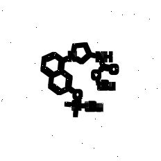 CC(C)(C)OC(=O)NC1CCN(c2cccc3ccc(O[Si](C)(C)C(C)(C)C)cc23)C1